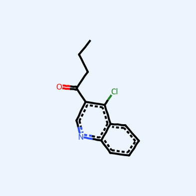 CCCC(=O)c1cnc2ccccc2c1Cl